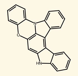 c1ccc2c(c1)Oc1cc3[nH]c4ccccc4c3c3c4ccccc4n-2c13